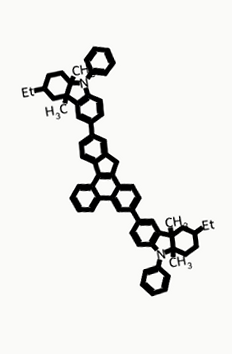 CCC1CCC2(C)N(c3ccccc3)c3ccc(-c4ccc5c(c4)Cc4c-5c5ccccc5c5cc(-c6ccc7c(c6)C6(C)CC(CC)CCC6(C)N7c6ccccc6)ccc45)cc3C2(C)C1